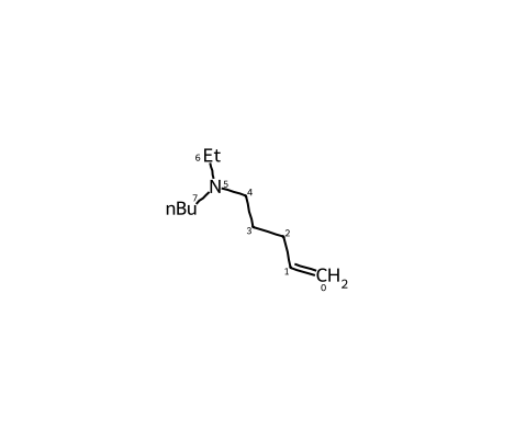 C=CCCCN(CC)CCCC